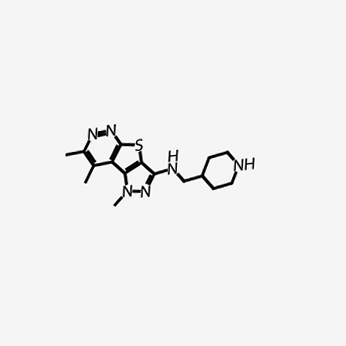 Cc1nnc2sc3c(NCC4CCNCC4)nn(C)c3c2c1C